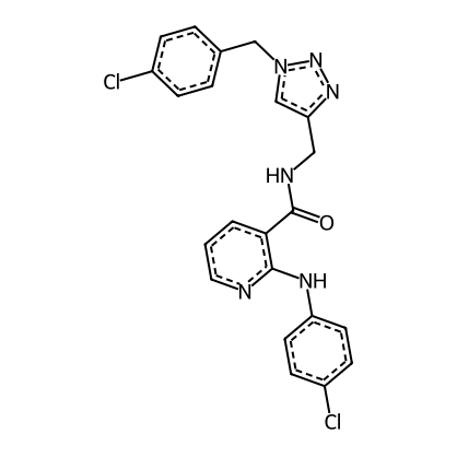 O=C(NCc1cn(Cc2ccc(Cl)cc2)nn1)c1cccnc1Nc1ccc(Cl)cc1